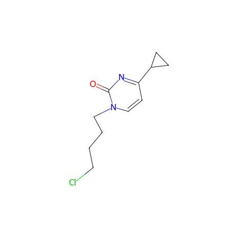 O=c1nc(C2CC2)ccn1CCCCCl